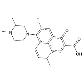 CC1CN(c2c(F)cc3c(=O)c(C(=O)O)cn4c3c2C=CC4C)CCN1C